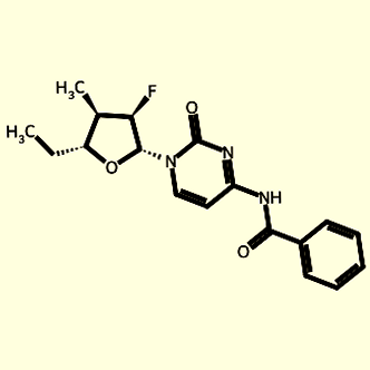 CC[C@H]1O[C@@H](n2ccc(NC(=O)c3ccccc3)nc2=O)[C@H](F)[C@@H]1C